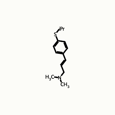 CC(C)Sc1ccc(C=CCN(C)C)cc1